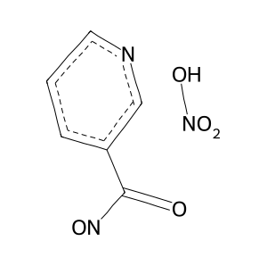 O=NC(=O)c1cccnc1.O=[N+]([O-])O